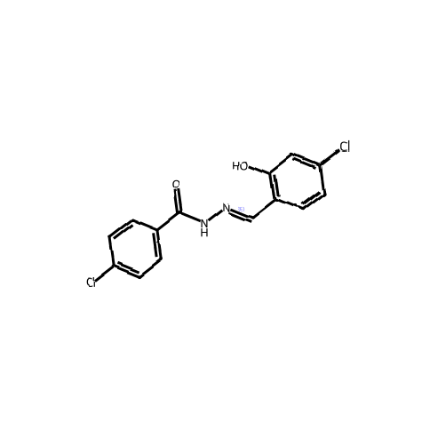 O=C(N/N=C/c1ccc(Cl)cc1O)c1ccc(Cl)cc1